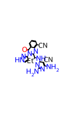 CCC(Nc1nc(N)nc(N)c1C#N)c1nc2c(C#N)cccc2c(=O)n1-c1cc[nH]n1